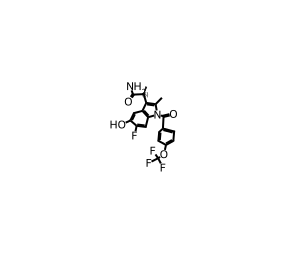 Cc1c([C@H](C)C(N)=O)c2cc(O)c(F)cc2n1C(=O)c1ccc(OC(F)(F)F)cc1